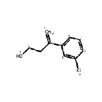 C=C(CCO)c1cccc(Cl)c1